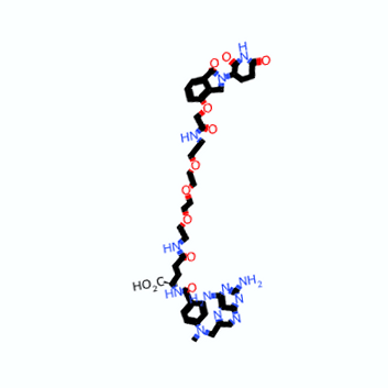 CN(Cc1cnc2nc(N)nc(N)c2n1)c1ccc(C(=O)N[C@@H](CCC(=O)NCCOCCOCCOCCNC(=O)COc2cccc3c2CN(C2CCC(=O)NC2=O)C3=O)C(=O)O)cc1